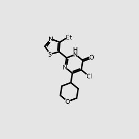 CCc1ncsc1-c1nc(C2CCOCC2)c(Cl)c(=O)[nH]1